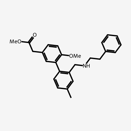 COC(=O)Cc1ccc(OC)c(-c2ccc(C)cc2CNCCc2ccccc2)c1